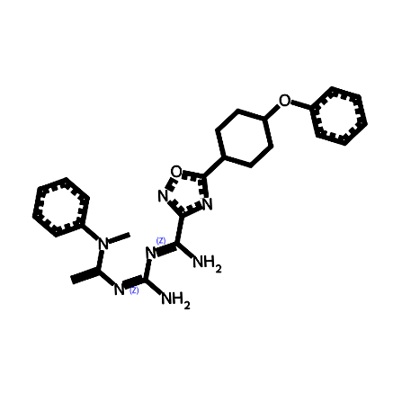 C=C(/N=C(N)\N=C(/N)c1noc(C2CCC(Oc3ccccc3)CC2)n1)N(C)c1ccccc1